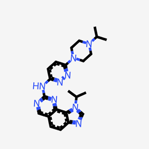 CC(C)N1CCN(c2ccc(Nc3ncc4ccc5ncn(C(C)C)c5c4n3)nn2)CC1